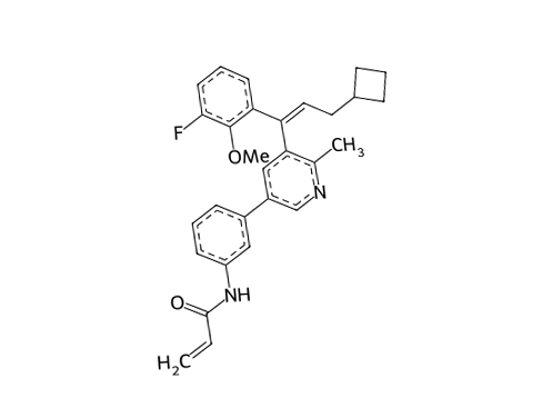 C=CC(=O)Nc1cccc(-c2cnc(C)c(/C(=C\CC3CCC3)c3cccc(F)c3OC)c2)c1